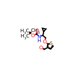 CC(C)(C)OC(=O)NC(COc1sccc1C=O)C1CC1